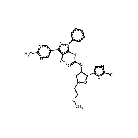 COCCN1C[C@@H](NC(=O)Nc2c(C)c(-c3cnc(C)nc3)nn2-c2ccccc2)[C@H](c2cnc(Cl)s2)O1